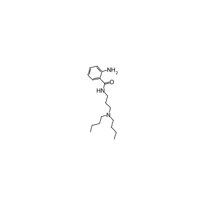 CCCCN(CCCC)CCCNC(=O)c1ccccc1N